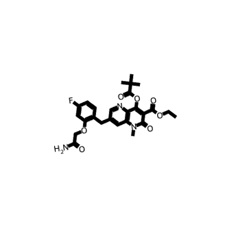 CCOC(=O)c1c(OC(=O)C(C)(C)C)c2ncc(Cc3ccc(F)cc3OCC(N)=O)cc2n(C)c1=O